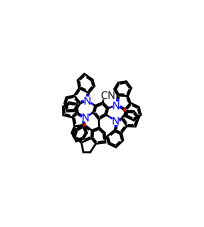 N#Cc1c(-n2c3ccccc3c3ccccc32)c(-n2c3ccccc3c3ccccc32)c(-c2ccc3c4c(cccc24)CC3)c(-n2c3ccccc3c3ccccc32)c1-n1c2ccccc2c2ccccc21